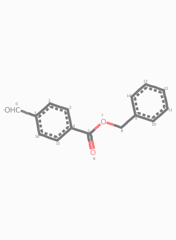 O=[C]c1ccc(C(=O)OCc2ccccc2)cc1